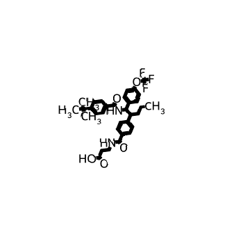 CCCC(c1ccc(C(=O)NCCC(=O)O)cc1)C(NC(=O)c1ccc(C(C)(C)C)cc1)c1ccc(OC(F)(F)F)cc1